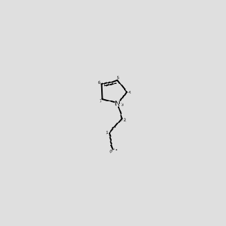 [CH2]CCN1CC=CC1